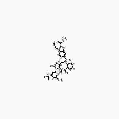 C=CC(=O)N1Cc2cc(CN3C[C@H]4CC(=O)N(c5cc(C(F)(F)F)cc(C)n5)[C@@H]4C(=O)N(C)c4cccc(Cl)c43)ccc2[C@H]1CC#N